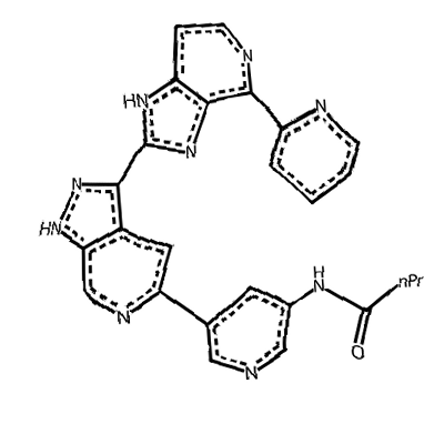 CCCC(=O)Nc1cncc(-c2cc3c(-c4nc5c(-c6ccccn6)nccc5[nH]4)n[nH]c3cn2)c1